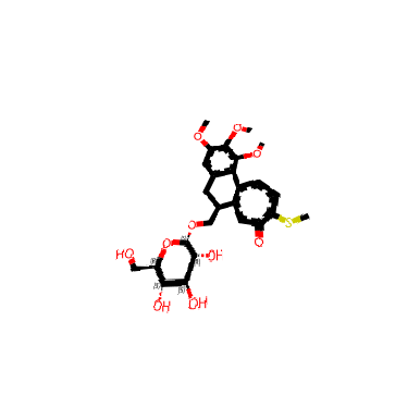 COc1cc2c(c(OC)c1OC)-c1ccc(SC)c(=O)cc1C(CO[C@H]1O[C@H](CO)[C@@H](O)[C@H](O)[C@H]1O)C2